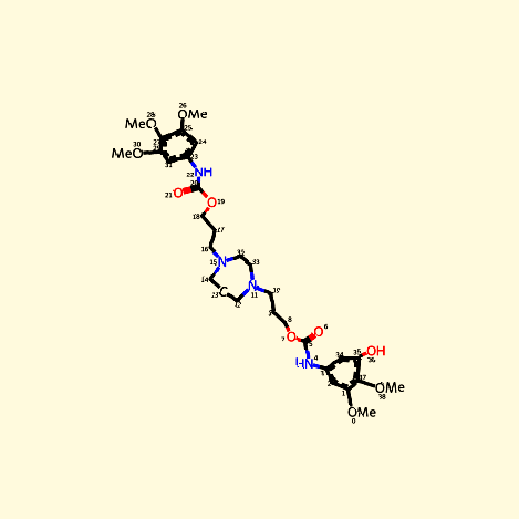 COc1cc(NC(=O)OCCCN2CCCN(CCCOC(=O)Nc3cc(OC)c(OC)c(OC)c3)CC2)cc(O)c1OC